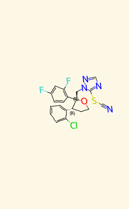 N#CSc1ncnn1C[C@@]1(c2ccc(F)cc2F)OCC[C@@H]1c1ccccc1Cl